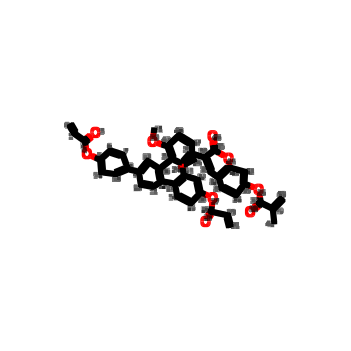 C=CC(=O)Oc1ccc(-c2ccc(-c3ccc(OC(=O)C=C)cc3CC)c(-c3cc(-c4cc5ccc(OC(=O)C(=C)C)cc5oc4=O)ccc3OC)c2)cc1